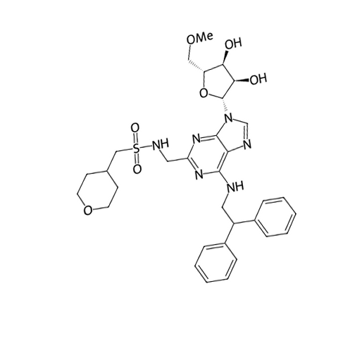 COC[C@H]1O[C@@H](n2cnc3c(NCC(c4ccccc4)c4ccccc4)nc(CNS(=O)(=O)CC4CCOCC4)nc32)[C@H](O)[C@@H]1O